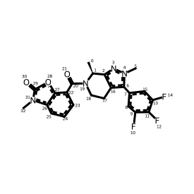 C[C@H]1c2nn(C)c(-c3cc(F)c(F)c(F)c3)c2CCN1C(=O)c1cccc2c1oc(=O)n2C